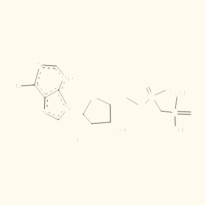 Nc1ncnc2c1ncn2[C@@H]1O[C@H](COP(=O)(O)CP(=O)(O)O)[C@H](O)[C@@H]1O